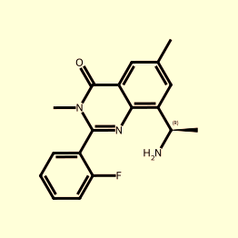 Cc1cc([C@@H](C)N)c2nc(-c3ccccc3F)n(C)c(=O)c2c1